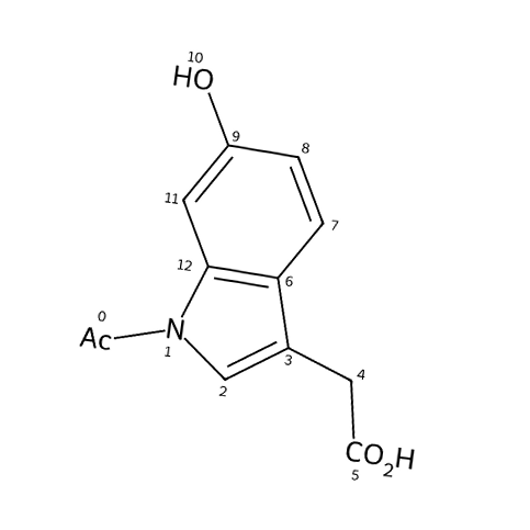 CC(=O)n1cc(CC(=O)O)c2ccc(O)cc21